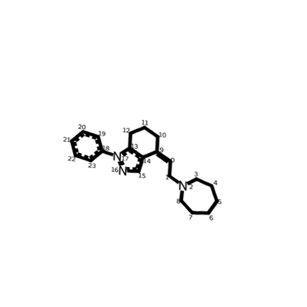 C(/CN1CCCCCC1)=C1\CCCc2c1cnn2-c1ccccc1